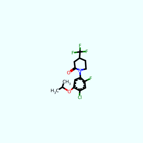 CC(C)Oc1cc(N2CCC(C(F)(F)F)CC2=O)c(F)cc1Cl